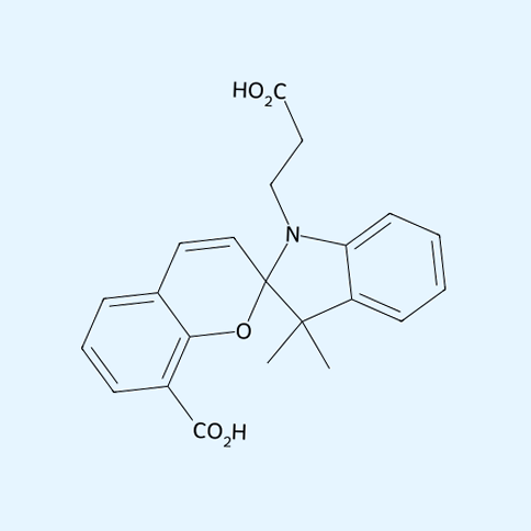 CC1(C)c2ccccc2N(CCC(=O)O)C12C=Cc1cccc(C(=O)O)c1O2